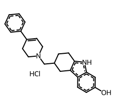 Cl.Oc1ccc2c3c([nH]c2c1)CCC(CN1CC=C(c2ccccc2)CC1)C3